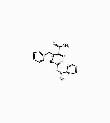 CCCN(CC(=O)N[C@@H](Cc1ccccc1)C(=O)C(N)=O)c1ccccc1